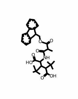 CC(C(=O)NC(C(=O)O)C(C(C(=O)O)C(C)(C)C)C(C)(C)C)C(=O)OCC1c2ccccc2-c2ccccc21